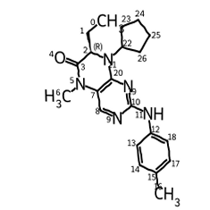 CC[C@@H]1C(=O)N(C)c2cnc(Nc3ccc(C)cc3)nc2N1C1CCCC1